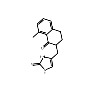 Cc1cccc2c1C(=O)C(Cc1c[nH]c(=S)[nH]1)CC2